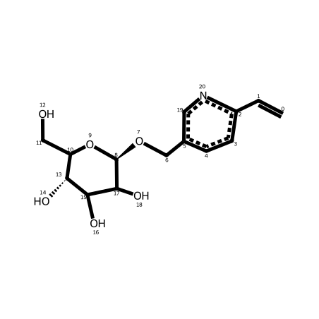 C=Cc1ccc(CO[C@@H]2OC(CO)[C@@H](O)C(O)C2O)cn1